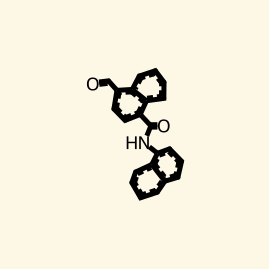 O=Cc1ccc(C(=O)Nc2cccc3ccccc23)c2ccccc12